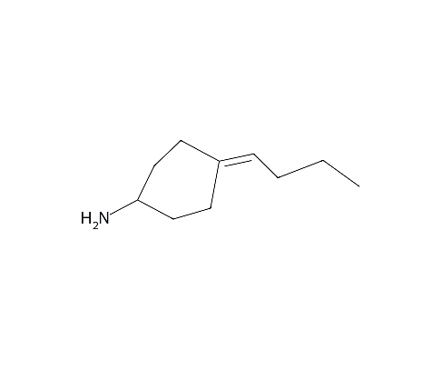 CCCC=C1CCC(N)CC1